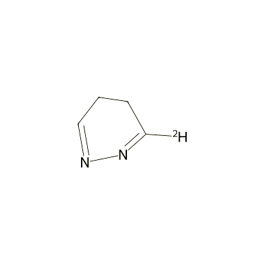 [2H]C1=NN=CCC1